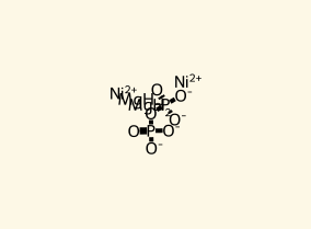 O=P([O-])([O-])OP(=O)([O-])[O-].[MgH2].[MgH2].[Ni+2].[Ni+2]